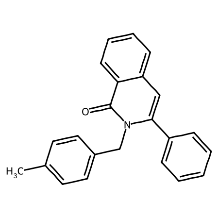 Cc1ccc(Cn2c(-c3ccccc3)cc3ccccc3c2=O)cc1